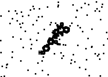 CCOc1cc(N2CCC(O)CC2)cc[c]1[Au][c]1ncc2c(n1)N(C)c1ccccc1C(=O)N2C